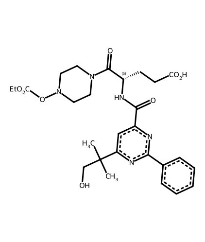 CCOC(=O)ON1CCN(C(=O)[C@H](CCC(=O)O)NC(=O)c2cc(C(C)(C)CO)nc(-c3ccccc3)n2)CC1